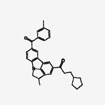 Cc1cccc(C(=O)c2ccc3c(c2)c2cc(C(=O)CCC4CCCC4)cc4c2n3CC4C)c1